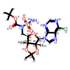 CC(C)(C)OC(=O)N(C[C@H]1O[C@@H](n2cnc3c(Cl)ncnc32)[C@@H]2OC(C)(C)O[C@@H]21)S(N)(=O)=O